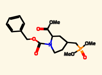 COC(=O)C1CC(CP(=O)(OC)OC)CCN1C(=O)OCc1ccccc1